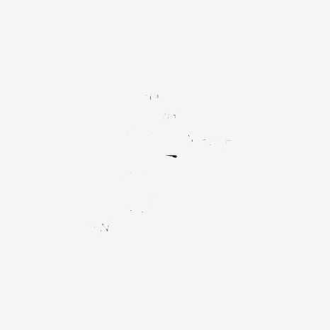 CC(C)(C)NC(=O)[C@@H](CNC(=O)O)c1ccc([N+](=O)[O-])cc1